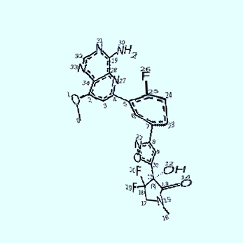 COc1cc(-c2cc(-c3cc([C@@]4(O)C(=O)N(C)CC4(F)F)on3)ccc2F)nc2c(N)ncnc12